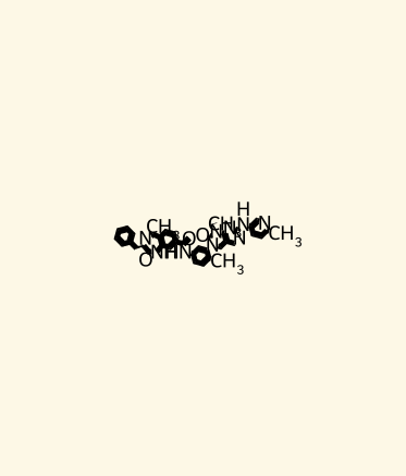 CC1=CCC(NC(=O)c2ccc3c(c2)NC(=O)[C@@H](Cc2ccccc2)N=C3C)C=C1N1Cc2cnc(Nc3ccc(C)nc3)nc2N(C)C1=O